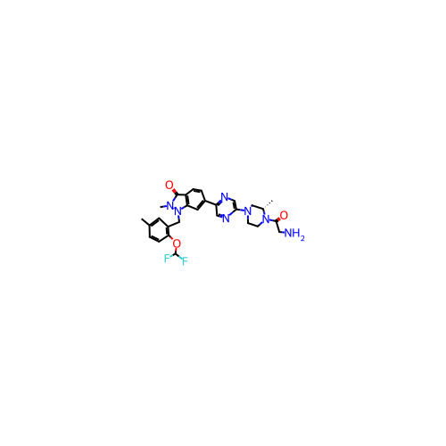 Cc1ccc(OC(F)F)c(Cn2c3cc(-c4cnc(N5CCN(C(=O)CN)[C@@H](C)C5)cn4)ccc3c(=O)n2C)c1